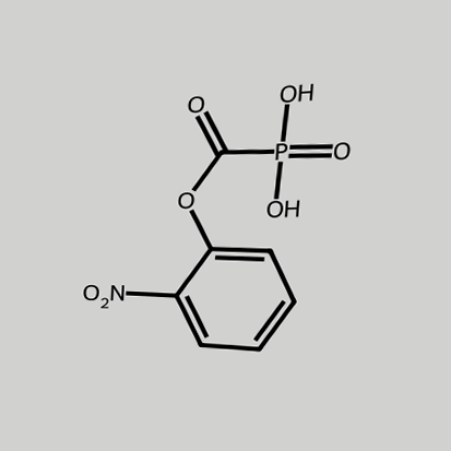 O=C(Oc1ccccc1[N+](=O)[O-])P(=O)(O)O